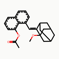 COC12CC3CC(CC(C3)C1=Cc1cccc3cccc(OC(C)=O)c13)C2